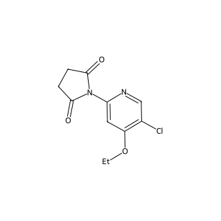 CCOc1cc(N2C(=O)CCC2=O)ncc1Cl